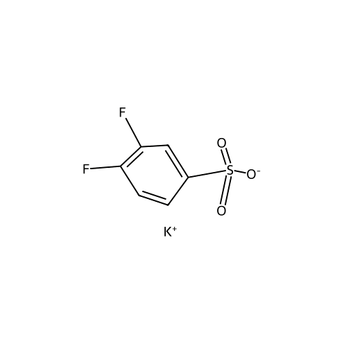 O=S(=O)([O-])c1ccc(F)c(F)c1.[K+]